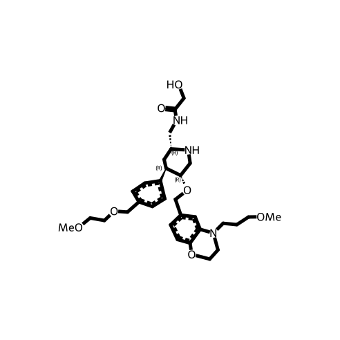 COCCCN1CCOc2ccc(CO[C@H]3CN[C@@H](CNC(=O)CO)C[C@@H]3c3ccc(COCCOC)cc3)cc21